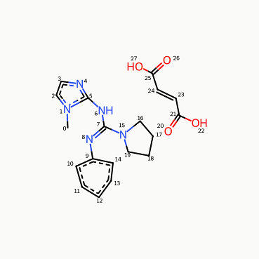 Cn1ccnc1NC(=Nc1ccccc1)N1CCCC1.O=C(O)C=CC(=O)O